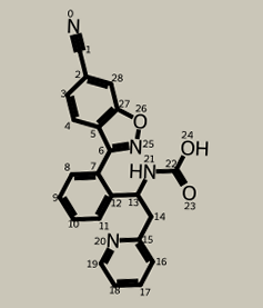 N#Cc1ccc2c(-c3ccccc3C(Cc3ccccn3)NC(=O)O)noc2c1